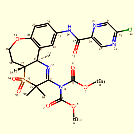 CC(C)(C)OC(=O)N(C(=O)OC(C)(C)C)C1=N[C@]2(C)c3cc(NC(=O)c4cnc(Cl)cn4)ccc3OCC[C@H]2S(=O)(=O)C1(C)C